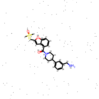 C[SH](C)(=O)Cc1cc2c(C(=O)N3CCC(c4cccc(CN)c4)CC3)cccc2o1